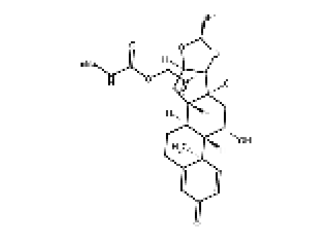 CCCCNC(=O)OCC(=O)[C@@]12O[C@H](CCC)O[C@@H]1C[C@H]1[C@@H]3CCC4=CC(=O)C=C[C@]4(C)[C@H]3[C@@H](O)C[C@@]12C